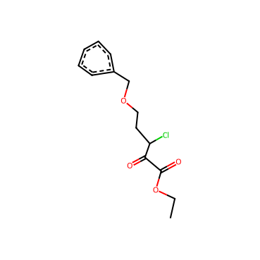 CCOC(=O)C(=O)C(Cl)CCOCc1ccccc1